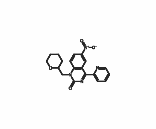 O=c1nc(-c2ccccn2)c2cc([N+](=O)[O-])ccc2n1CC1CCCCO1